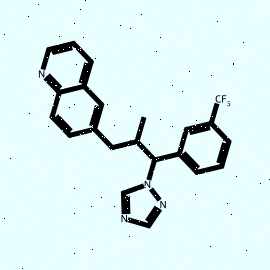 CC(Cc1ccc2ncccc2c1)C(c1cccc(C(F)(F)F)c1)n1cncn1